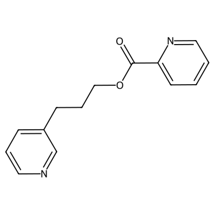 O=C(OCCCc1cccnc1)c1ccccn1